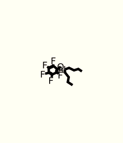 CCC[CH2][Al]([CH2]CCC)[O]c1c(F)c(F)c(F)c(F)c1F